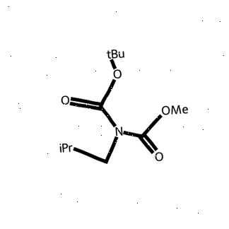 COC(=O)N(CC(C)C)C(=O)OC(C)(C)C